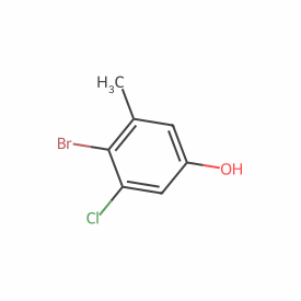 Cc1cc(O)cc(Cl)c1Br